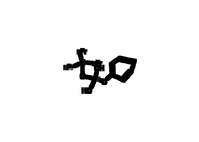 CCC[Si](CCC)(CCC)[O][Zr]([OH])([OH])[O]c1ccccc1